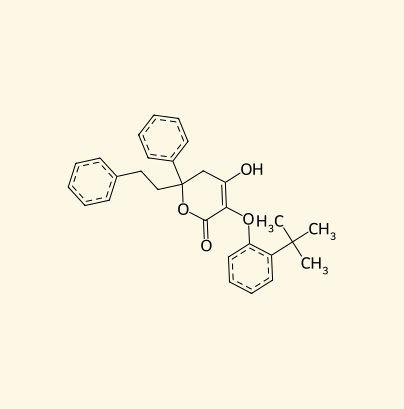 CC(C)(C)c1ccccc1OC1=C(O)CC(CCc2ccccc2)(c2ccccc2)OC1=O